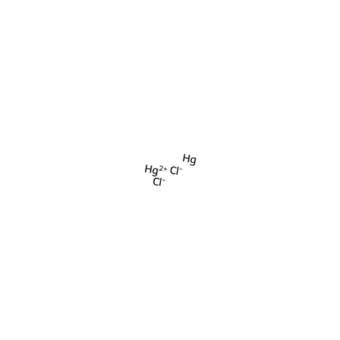 [Cl-].[Cl-].[Hg+2].[Hg]